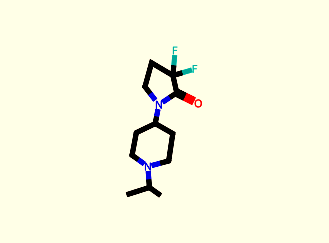 CC(C)N1CCC(N2CCC(F)(F)C2=O)CC1